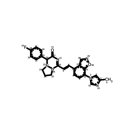 Cc1cn(-c2ccc(/C=C/C3=NC(=O)C(c4ccc(F)cc4)N4CCCN34)c3cnoc23)cn1